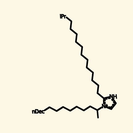 CCCCCCCCCCCCCCCCCC(C)[n+]1cc[nH]c1CCCCCCCCCCCCC(C)C